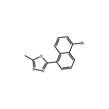 Cc1nnc(-c2cccc3c(Br)cccc23)o1